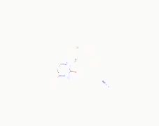 CC[C@H]1O[C@@H](n2cc(C)c(=O)[nH]c2=O)CC1OP(C)OCCC#N